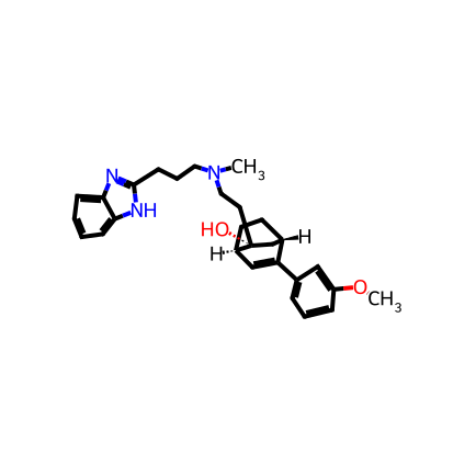 COc1cccc(C2=C[C@H]3CC[C@H]2C[C@]3(O)CCN(C)CCCc2nc3ccccc3[nH]2)c1